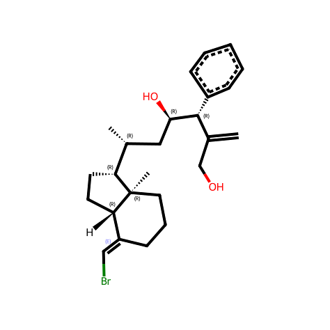 C=C(CO)[C@@H](c1ccccc1)[C@H](O)C[C@@H](C)[C@H]1CC[C@H]2/C(=C/Br)CCC[C@]12C